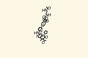 CC(=O)NCCNC(=O)OS(=O)(=O)N1CCN(c2ccc(Nc3ncc4c(C)c(C(C)=O)c(=O)n(C5CCCC5)c4n3)nc2)CC1